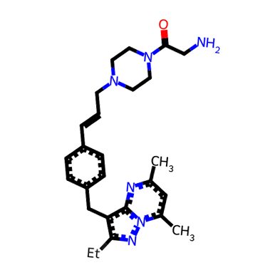 CCc1nn2c(C)cc(C)nc2c1Cc1ccc(C=CCN2CCN(C(=O)CN)CC2)cc1